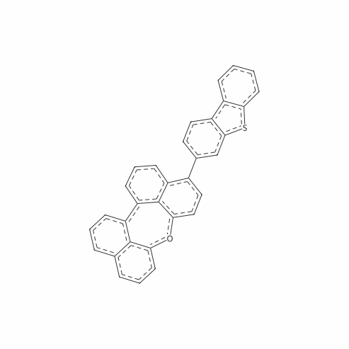 c1cc2cccc3c4cccc5c(-c6ccc7c(c6)sc6ccccc67)ccc(oc(c1)c23)c54